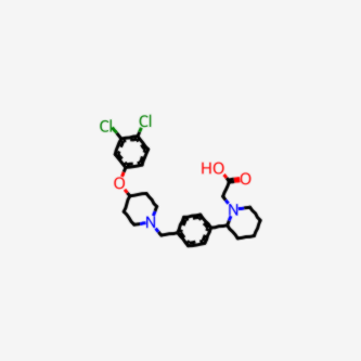 O=C(O)CN1CCCCC1c1ccc(CN2CCC(Oc3ccc(Cl)c(Cl)c3)CC2)cc1